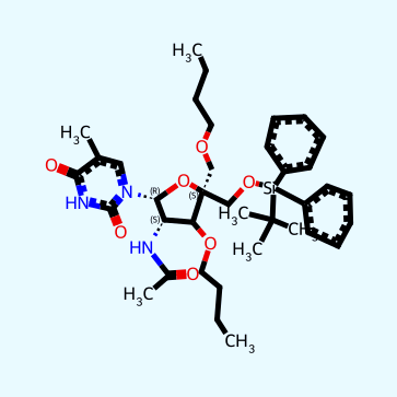 CCCCOC[C@@]1(CO[Si](c2ccccc2)(c2ccccc2)C(C)(C)C)O[C@@H](n2cc(C)c(=O)[nH]c2=O)[C@@H](NC(C)=O)C1OCCCC